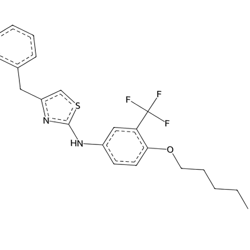 CCCCCOc1ccc(Nc2nc(Cc3cccnc3)cs2)cc1C(F)(F)F